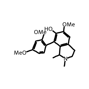 COc1ccc(-c2c(O)c(OC)cc3c2C(C)N(C)CC3)c(OC)c1